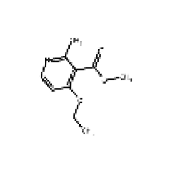 CCOc1ccnc(C)c1C(=O)OC